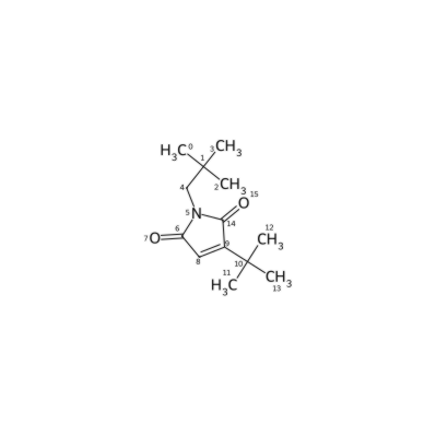 CC(C)(C)CN1C(=O)C=C(C(C)(C)C)C1=O